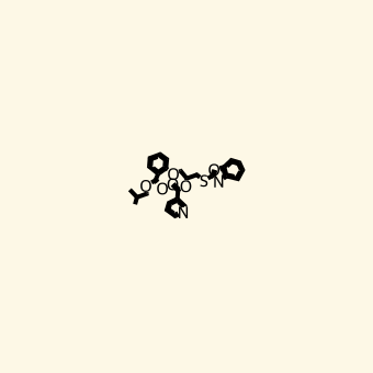 CC(C)COC(=O)c1ccccc1OCC(CSc1nc2ccccc2o1)OC(=O)c1cccnc1